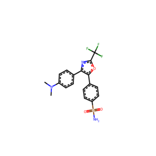 CN(C)c1ccc(-c2nc(C(F)(F)F)oc2-c2ccc(S(N)(=O)=O)cc2)cc1